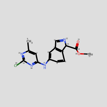 Cc1cc(Nc2ccc3c(c2)C=NC3C(=O)OC(C)(C)C)nc(Cl)n1